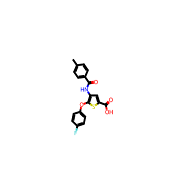 Cc1ccc(C(=O)Nc2cc(C(=O)O)sc2Oc2ccc(F)cc2)cc1